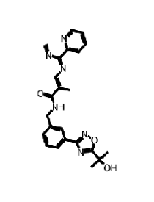 C=N/C(=N\C=C(/C)C(=O)NCc1cccc(-c2noc(C(C)(C)O)n2)c1)c1ccccn1